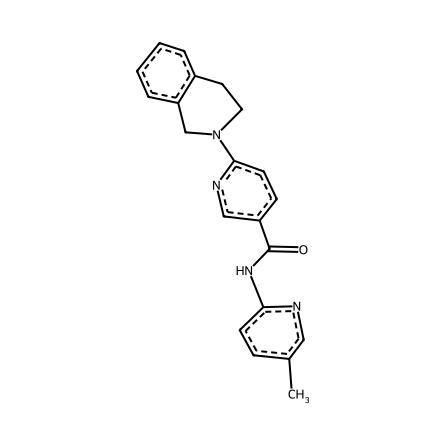 Cc1ccc(NC(=O)c2ccc(N3CCc4ccccc4C3)nc2)nc1